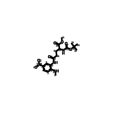 CNc1ccc([N+](=O)[O-])cc1NC(=O)CCC(NC(=O)OC(C)(C)C)C(=O)OC